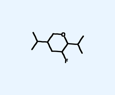 CC(C)C1COC(C(C)C)C(F)C1